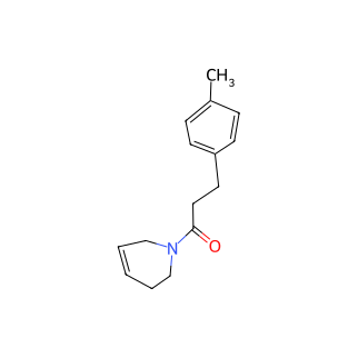 Cc1ccc(CCC(=O)N2CC=CCC2)cc1